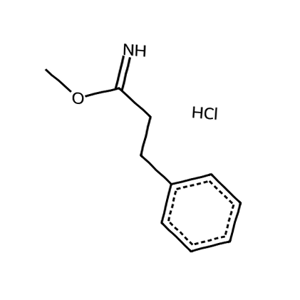 COC(=N)CCc1ccccc1.Cl